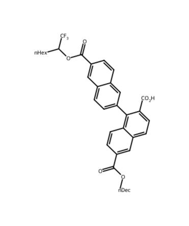 CCCCCCCCCCOC(=O)c1ccc2c(-c3ccc4cc(C(=O)OC(CCCCCC)C(F)(F)F)ccc4c3)c(C(=O)O)ccc2c1